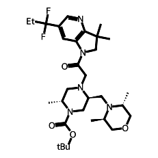 CCC(F)(F)c1cnc2c(c1)N(C(=O)CN1C[C@@H](C)N(C(=O)OC(C)(C)C)C[C@@H]1CN1[C@H](C)COC[C@H]1C)CC2(C)C